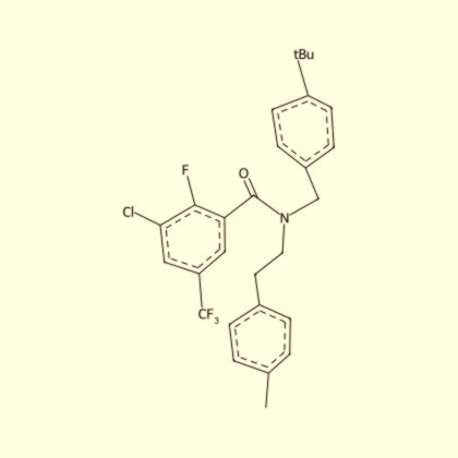 Cc1ccc(CCN(Cc2ccc(C(C)(C)C)cc2)C(=O)c2cc(C(F)(F)F)cc(Cl)c2F)cc1